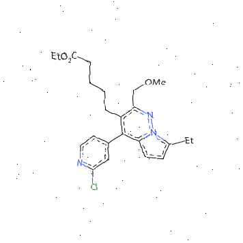 CCOC(=O)CCCCc1c(COC)nn2c(CC)ccc2c1-c1ccnc(Cl)c1